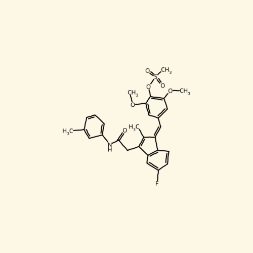 COc1cc(C=C2C(C)=C(CC(=O)Nc3cccc(C)c3)c3cc(F)ccc32)cc(OC)c1OS(C)(=O)=O